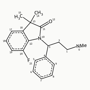 CNCCC(c1ccccc1)N1C(=O)C(C)(C)c2cccc(F)c21